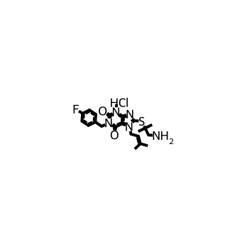 CC(C)=CCn1c(SC(C)(C)CN)nc2c1c(=O)n(Cc1ccc(F)cc1)c(=O)n2C.Cl